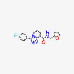 O=C(NCc1ccco1)c1cccn2c(-c3ccc(F)cc3)nnc12